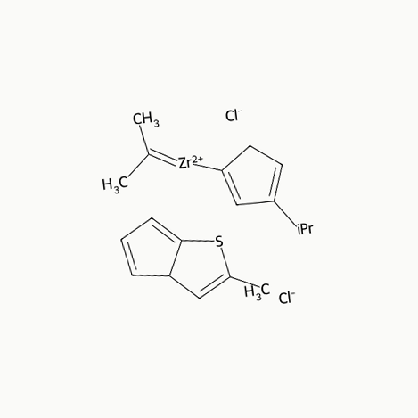 CC1=CC2C=CC=C2S1.C[C](C)=[Zr+2][C]1=CC(C(C)C)=CC1.[Cl-].[Cl-]